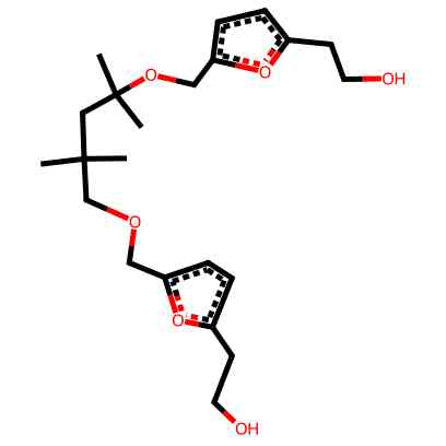 CC(C)(COCc1ccc(CCO)o1)CC(C)(C)OCc1ccc(CCO)o1